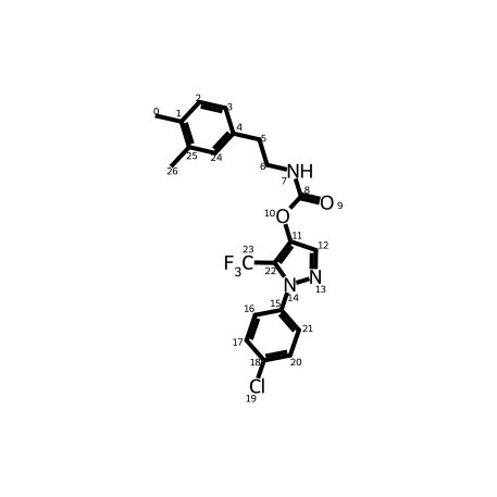 Cc1ccc(CCNC(=O)Oc2cnn(-c3ccc(Cl)cc3)c2C(F)(F)F)cc1C